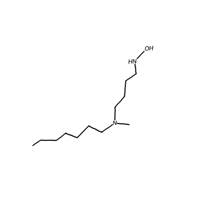 CCCCCCCN(C)CCCCNO